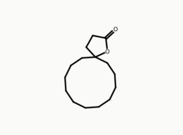 O=C1CCC2(CCCCCCCCCCC2)O1